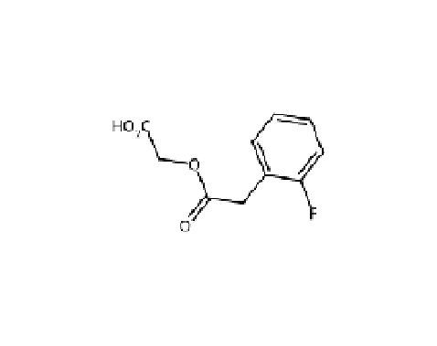 O=C(O)COC(=O)Cc1ccccc1F